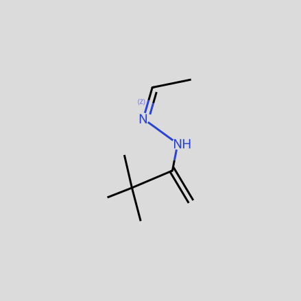 C=C(N/N=C\C)C(C)(C)C